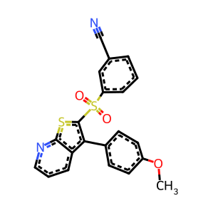 COc1ccc(-c2c(S(=O)(=O)c3cccc(C#N)c3)sc3ncccc23)cc1